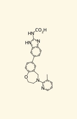 Cc1cccnc1N1CCOc2ccc(-c3ccc4nc(NC(=O)O)[nH]c4c3)cc2C1